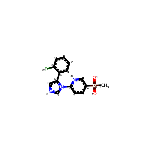 CS(=O)(=O)c1ccc(-n2cncc2-c2ccccc2F)nc1